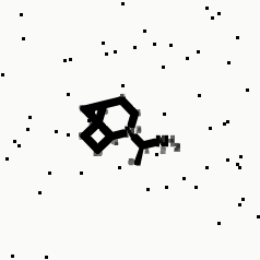 C[C@H](N)N1CCC2CC23CCC13